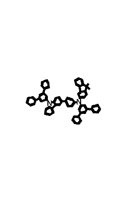 CC1(C)c2ccccc2-c2cc(N(c3ccc(-c4ccc5c(c4)c4ccccc4n5-c4cc(-c5ccccc5)cc(-c5ccccc5)c4)cc3)c3cc(-c4ccccc4)cc(-c4ccccc4)c3)ccc21